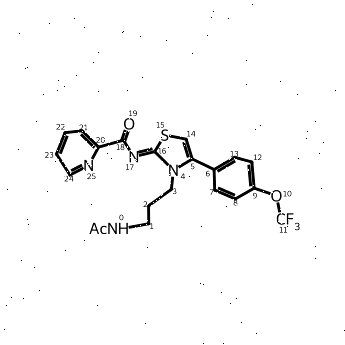 CC(=O)NCCCn1c(-c2ccc(OC(F)(F)F)cc2)cs/c1=N\C(=O)c1ccccn1